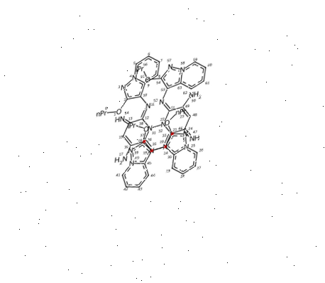 CCCOc1nn2ccccc2c1N=C1C(=N)C=C(N)C(=Nc2c(OCCC)nn3ccccc23)N1N1C(=Nc2c(OC(C)C)nn3ccccc23)C(=N)C=C(N)C1=Nc1c(OC(C)C)nn2ccccc12